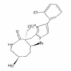 CC(C)[C@H]1CC[C@@H](O)CNC(=O)[C@@]1(CC(=O)O)c1nc(-c2ccccc2Cl)cs1